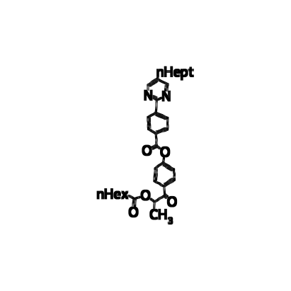 CCCCCCCc1cnc(-c2ccc(C(=O)Oc3ccc(C(=O)C(C)OC(=O)CCCCCC)cc3)cc2)nc1